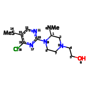 CNC1CN(CCO)CCN1c1ncc(SC)c(Cl)n1